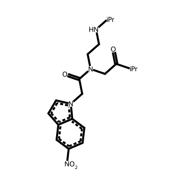 CC(C)NCCN(CC(=O)C(C)C)C(=O)Cn1ccc2cc([N+](=O)[O-])ccc21